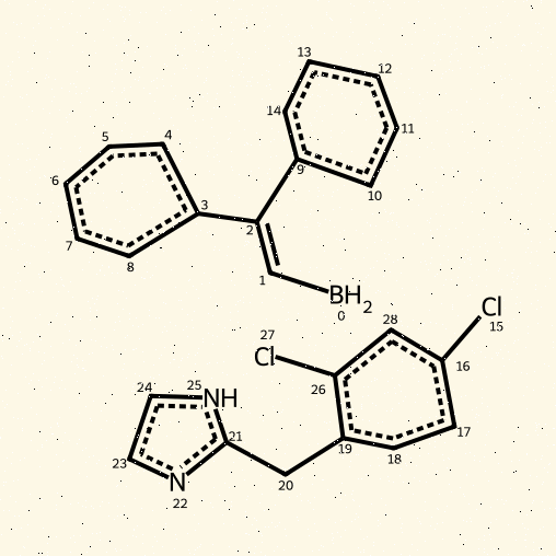 BC=C(c1ccccc1)c1ccccc1.Clc1ccc(Cc2ncc[nH]2)c(Cl)c1